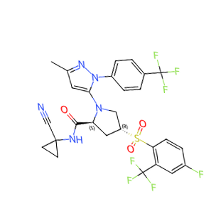 Cc1cc(N2C[C@H](S(=O)(=O)c3ccc(F)cc3C(F)(F)F)C[C@H]2C(=O)NC2(C#N)CC2)n(-c2ccc(C(F)(F)F)cc2)n1